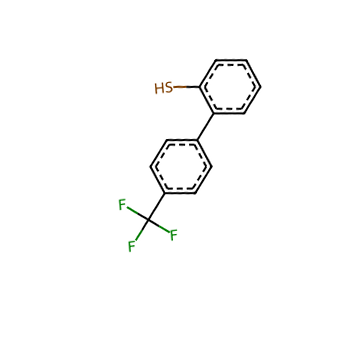 FC(F)(F)c1ccc(-c2ccccc2S)cc1